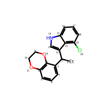 [CH2]CC(c1cccc2c1OCCO2)c1c[nH]c2cccc(Cl)c12